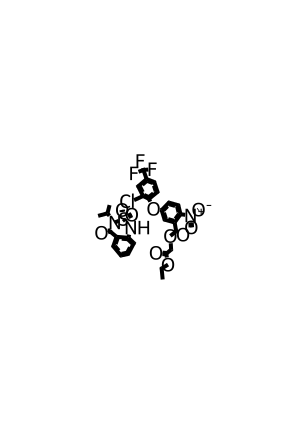 CC(C)N1C(=O)c2ccccc2NS1(=O)=O.CCOC(=O)COC(=O)c1cc(Oc2ccc(C(F)(F)F)cc2Cl)ccc1[N+](=O)[O-]